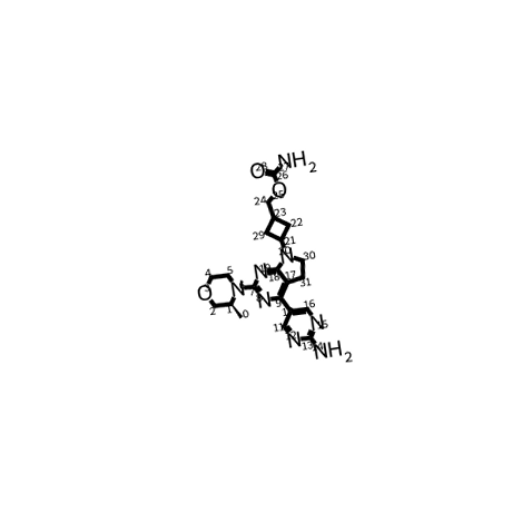 C[C@H]1COCCN1c1nc(-c2cnc(N)nc2)c2c(n1)N(C1CC(COC(N)=O)C1)CC2